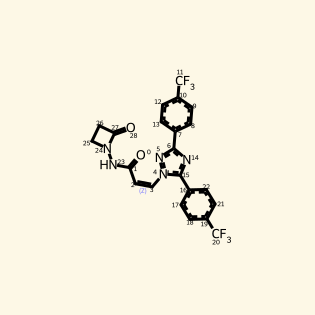 O=C(/C=C\n1nc(-c2ccc(C(F)(F)F)cc2)nc1-c1ccc(C(F)(F)F)cc1)NN1CCC1=O